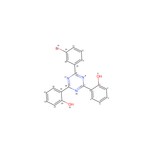 Oc1ccccc1-c1nc(-c2cccc(Br)c2)nc(-c2ccccc2O)n1